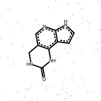 O=C1NCc2cnc3[nH]ccc3c2N1